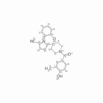 Cc1cc(C(=O)N2CCC3(CC2)Oc2ccccc2-n2c(C#N)ccc23)ccc1O